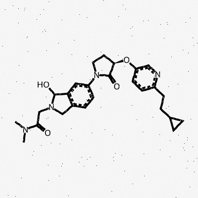 CN(C)C(=O)CN1Cc2ccc(N3CC[C@@H](Oc4ccc(CCC5CC5)nc4)C3=O)cc2C1O